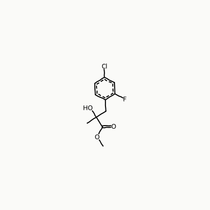 COC(=O)C(C)(O)Cc1ccc(Cl)cc1F